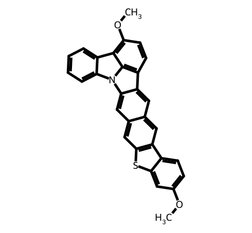 COc1ccc2c(c1)sc1cc3cc4c(cc3cc12)c1ccc(OC)c2c3ccccc3n4c12